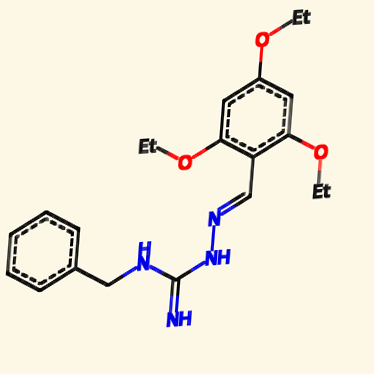 CCOc1cc(OCC)c(C=NNC(=N)NCc2ccccc2)c(OCC)c1